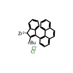 CCCCC1=C(c2cccc3ccc4ccccc4c23)c2ccccc2[CH]1[Zr+2].[Cl-].[Cl-]